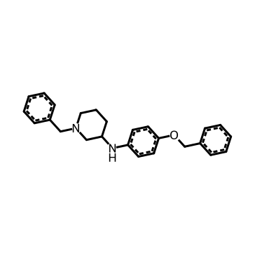 c1ccc(COc2ccc(NC3CCCN(Cc4ccccc4)C3)cc2)cc1